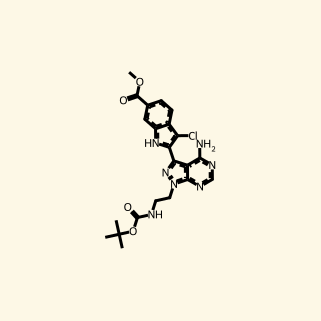 COC(=O)c1ccc2c(Cl)c(-c3nn(CCNC(=O)OC(C)(C)C)c4ncnc(N)c34)[nH]c2c1